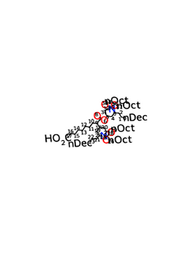 CCCCCCCCCCCCC1CC(OC(=O)C(CCCCCCCC(=O)O)C2CC(CCCCCCCCCCCC)N(OCCCCCCCC)C(OCCCCCCCC)C2)CC(OCCCCCCCC)N1OCCCCCCCC